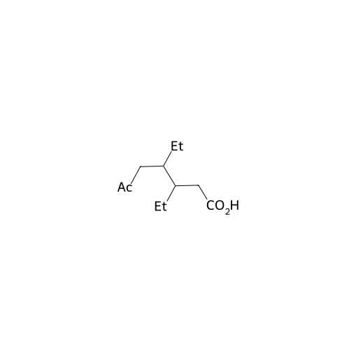 CCC(CC(C)=O)C(CC)CC(=O)O